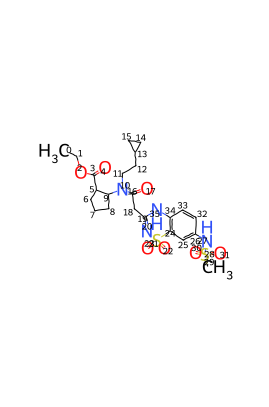 CCOC(=O)C1CCCC1N(CCC1CC1)C(=O)CC1=NS(=O)(=O)c2cc(NS(C)(=O)=O)ccc2N1